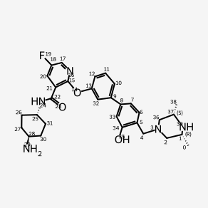 C[C@@H]1CN(Cc2ccc(-c3cccc(Oc4ncc(F)cc4C(=O)N[C@H]4CC[C@H](N)CC4)c3)cc2O)C[C@H](C)N1